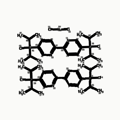 CC(C)[Si](Cl)(c1ccc(-c2ccc([Si](Cl)(C(C)C)C(C)C)cn2)nc1)C(C)C.CC(C)[Si](Cl)(c1ccc(-c2ccc([Si](Cl)(C(C)C)C(C)C)cn2)nc1)C(C)C.[Cl][Ru][Cl]